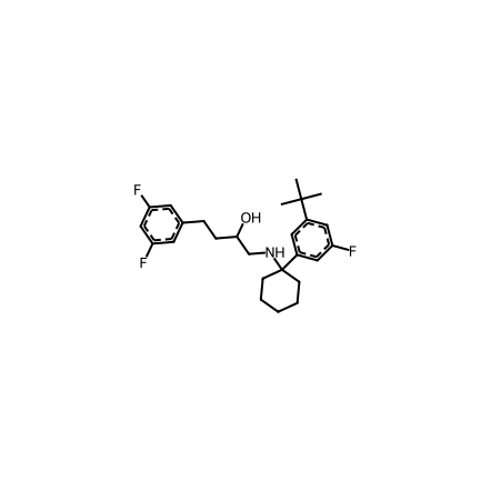 CC(C)(C)c1cc(F)cc(C2(NCC(O)CCc3cc(F)cc(F)c3)CCCCC2)c1